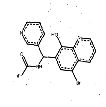 CCCC(=O)NC(c1cccnc1)c1cc(Br)c2cccnc2c1O